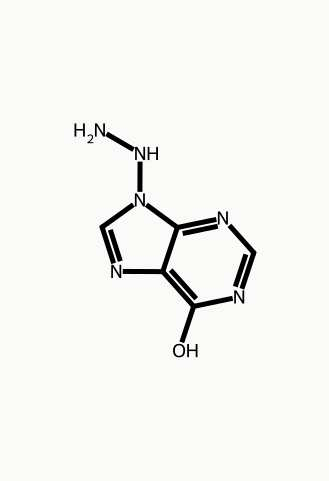 NNn1cnc2c(O)ncnc21